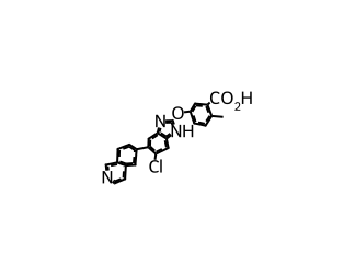 Cc1ccc(Oc2nc3cc(-c4ccc5cnccc5c4)c(Cl)cc3[nH]2)cc1C(=O)O